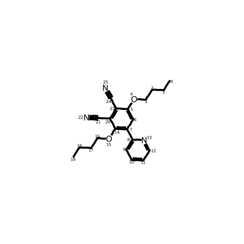 CCCCOc1cc(-c2ccccn2)c(OCCCC)c(C#N)c1C#N